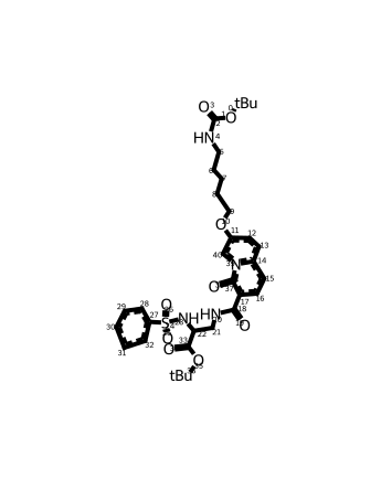 CC(C)(C)OC(=O)NCCCCCOc1ccc2ccc(C(=O)NCC(NS(=O)(=O)c3ccccc3)C(=O)OC(C)(C)C)c(=O)n2c1